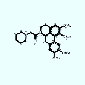 COc1cc2c(cc1OC)-c1c(OC)c(OC)cc3c1C(C2)N(C(=O)CN1CCCCC1)CC3